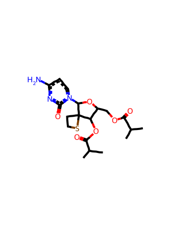 CC(C)C(=O)OCC1OC(n2ccc(N)nc2=O)C2(CCS2)C1OC(=O)C(C)C